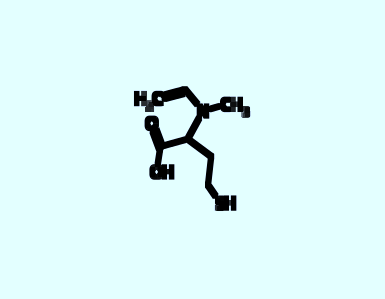 C=CN(C)C(CCS)C(=O)O